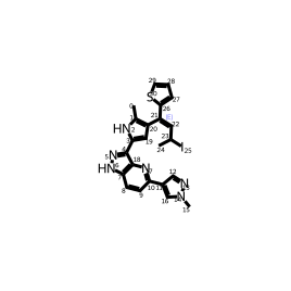 Cc1[nH]c(-c2n[nH]c3ccc(-c4cnn(C)c4)nc23)cc1/C(=C\C(C)I)c1cccs1